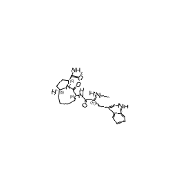 CN[C@@H](Cc1c[nH]c2ccccc12)C(=O)N[C@H]1CCCC[C@H]2CC[C@@H](C(N)=O)N2C1=O